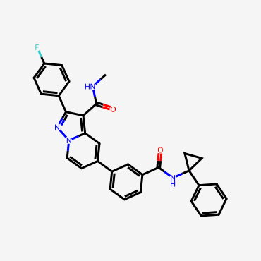 CNC(=O)c1c(-c2ccc(F)cc2)nn2ccc(-c3cccc(C(=O)NC4(c5ccccc5)CC4)c3)cc12